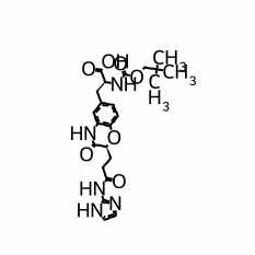 CC(C)(C)COC(=O)N[C@@H](Cc1ccc2c(c1)NC(=O)[C@H](CCC(=O)Nc1ncc[nH]1)O2)C(=O)O